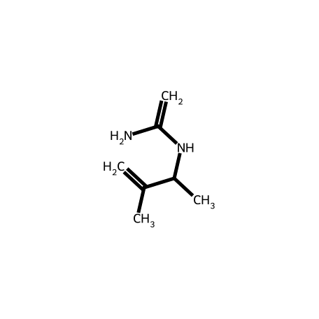 C=C(N)NC(C)C(=C)C